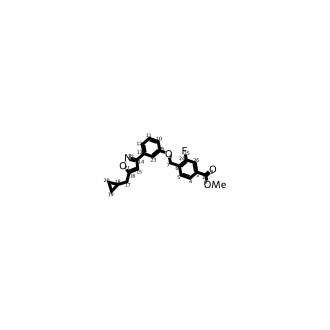 COC(=O)c1ccc(COc2cccc(-c3cc(CC4CC4)on3)c2)c(F)c1